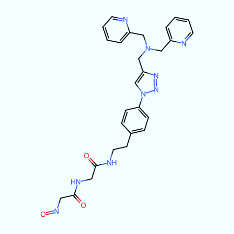 O=NCC(=O)NCC(=O)NCCc1ccc(-n2cc(CN(Cc3ccccn3)Cc3ccccn3)nn2)cc1